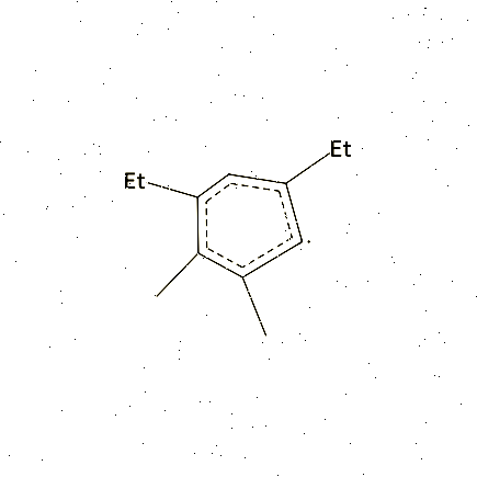 CCc1[c]c(C)c(C)c(CC)c1